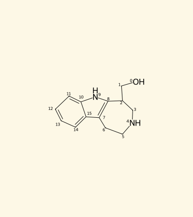 OCC1CNCCc2c1[nH]c1ccccc21